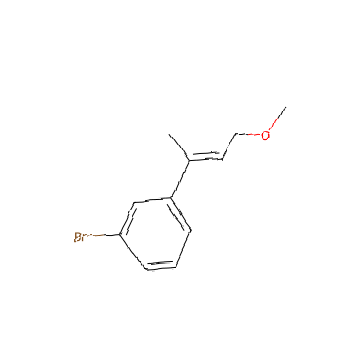 COC/C=C(\C)c1cccc(Br)c1